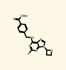 COC(=O)c1ccc(CNc2nc(F)nc3c2ncn3C2CCO2)cc1